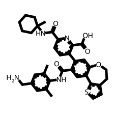 Cc1cc(CN)cc(C)c1NC(=O)c1cc2c(cc1-c1ccc(C(=O)NC3(C)CCCCC3)nc1C(=O)O)OCCc1ccsc1-2